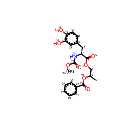 CC(COC(=O)[C@H](Cc1ccc(O)c(O)c1)NC(=O)OC(C)(C)C)OC(=O)c1ccccc1